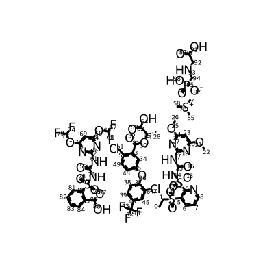 CCS(=O)(=O)c1cccnc1S(=O)(=O)NC(=O)Nc1nc(OC)cc(OC)n1.C[C@H](OC(=O)c1cc(Oc2ccc(C(F)(F)F)cc2Cl)ccc1Cl)C(=O)O.C[S+](C)C.O=C(Nc1nc(OC(F)F)cc(OC(F)F)n1)NS(=O)(=O)c1ccccc1C(=O)O.O=C(O)CNCP(=O)([O-])O